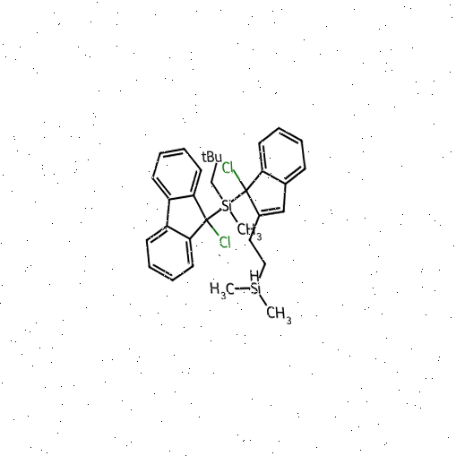 C[SiH](C)CCC1=Cc2ccccc2C1(Cl)[Si](C)(CC(C)(C)C)C1(Cl)c2ccccc2-c2ccccc21